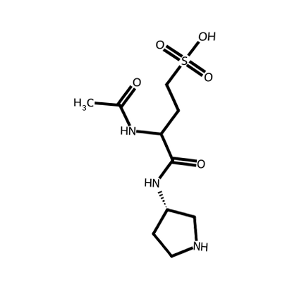 CC(=O)NC(CCS(=O)(=O)O)C(=O)N[C@H]1CCNC1